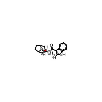 [2H]c1[nH]c2ccccc2c1C(=O)OC1CC2CCC(C1)N2C([2H])([2H])C